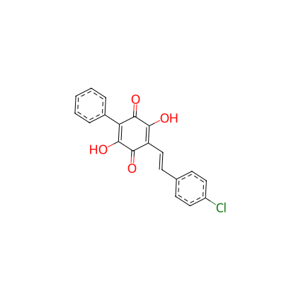 O=C1C(O)=C(c2ccccc2)C(=O)C(O)=C1C=Cc1ccc(Cl)cc1